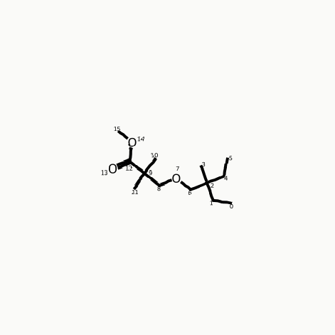 CCC(C)(CC)COCC(C)(C)C(=O)OC